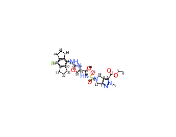 CCOC(=O)c1c2c(nn1C)CN(S(=O)(=O)NC(=O)c1coc(Nc3c4c(c(F)c5c3CCC5)CCC4)n1)C2